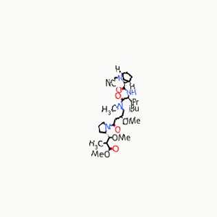 CC[C@H](C)[C@@H]([C@@H](CC(=O)N1CCC[C@H]1C(OC)C(C)C(=O)OC)OC)N(C)C(=O)[C@@H](NC(=O)[C@@H]1[C@H]2CC[C@H](C2)N1CC#N)C(C)C